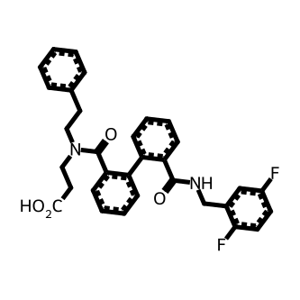 O=C(O)CCN(CCc1ccccc1)C(=O)c1ccccc1-c1ccccc1C(=O)NCc1cc(F)ccc1F